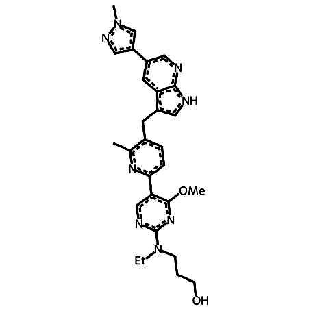 CCN(CCCO)c1ncc(-c2ccc(Cc3c[nH]c4ncc(-c5cnn(C)c5)cc34)c(C)n2)c(OC)n1